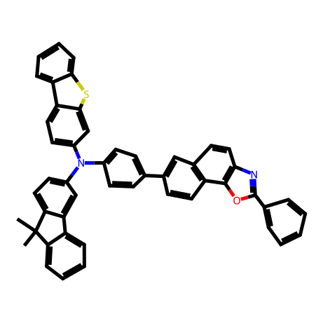 CC1(C)c2ccccc2-c2cc(N(c3ccc(-c4ccc5c(ccc6nc(-c7ccccc7)oc65)c4)cc3)c3ccc4c(c3)sc3ccccc34)ccc21